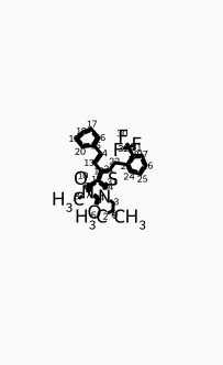 CC(C)Cn1c(=O)n(C)c(=O)c2c(C=Cc3ccccc3)c(Cc3ccccc3C(F)(F)F)sc21